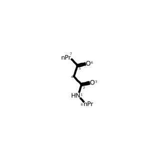 CCCNC(=O)CC(=O)CCC